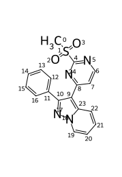 CS(=O)(=O)c1nccc(-c2c(-c3ccccc3)nn3ccccc23)n1